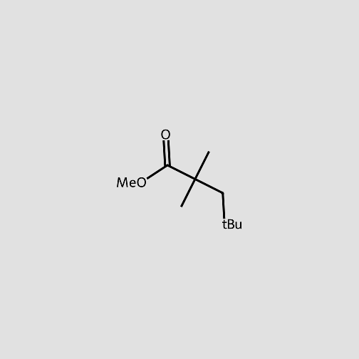 COC(=O)C(C)(C)CC(C)(C)C